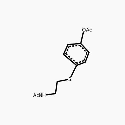 CC(=O)NCCSc1ccc(OC(C)=O)cc1